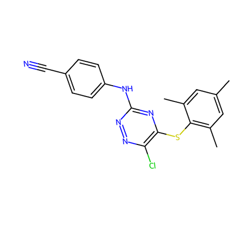 Cc1cc(C)c(Sc2nc(Nc3ccc(C#N)cc3)nnc2Cl)c(C)c1